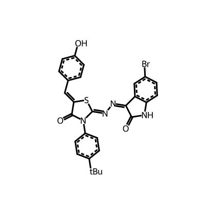 CC(C)(C)c1ccc(N2C(=O)C(=Cc3ccc(O)cc3)SC2=NN=C2C(=O)Nc3ccc(Br)cc32)cc1